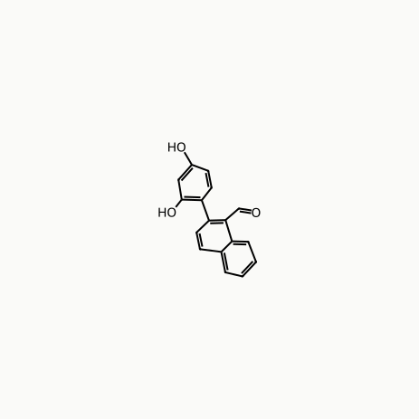 O=Cc1c(-c2ccc(O)cc2O)ccc2ccccc12